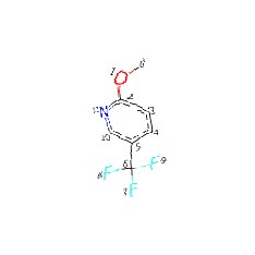 COc1[c]cc(C(F)(F)F)cn1